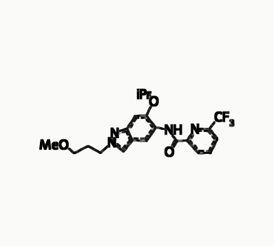 COCCCn1cc2cc(NC(=O)c3cccc(C(F)(F)F)n3)c(OC(C)C)cc2n1